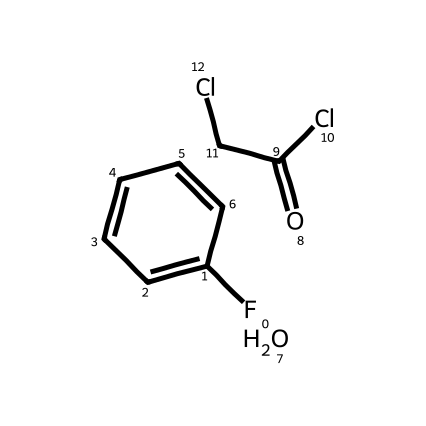 Fc1ccccc1.O.O=C(Cl)CCl